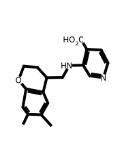 Cc1cc2c(cc1C)C(CNc1cnccc1C(=O)O)CCO2